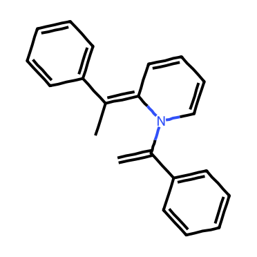 C=C(c1ccccc1)N1C=CC=C/C1=C(/C)c1ccccc1